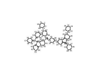 c1ccc(-c2ccc(N(c3ccc(-c4ccc5c(c4)c4cc(-c6ccccc6)ccc4n5-c4ccccc4)cc3)c3ccc4c(c3)C(C(c3ccccc3)c3ccccc3)c3ccccc3-4)cc2)cc1